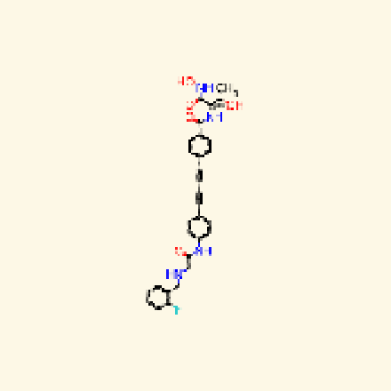 C[C@@H](O)[C@H](NC(=O)c1ccc(C#CC#Cc2ccc(NC(=O)CNCc3ccccc3F)cc2)cc1)C(=O)NO